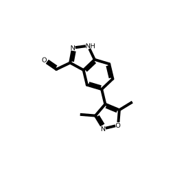 Cc1noc(C)c1-c1ccc2[nH]nc(C=O)c2c1